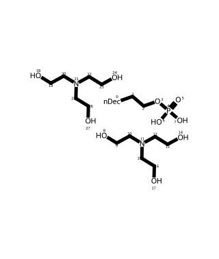 CCCCCCCCCCCCOP(=O)(O)O.OCCN(CCO)CCO.OCCN(CCO)CCO